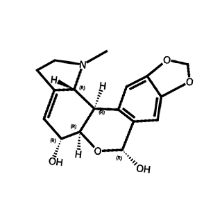 CN1CCC2=C[C@@H](O)[C@@H]3O[C@@H](O)c4cc5c(cc4[C@@H]3[C@H]21)OCO5